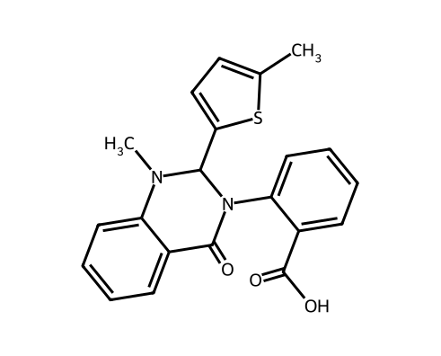 Cc1ccc(C2N(C)c3ccccc3C(=O)N2c2ccccc2C(=O)O)s1